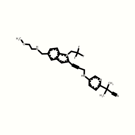 COCCNCc1ccc2c(c1)cc(C#CCNc1ccc(C(C)(C)C#N)nc1)n2CC(F)(F)F